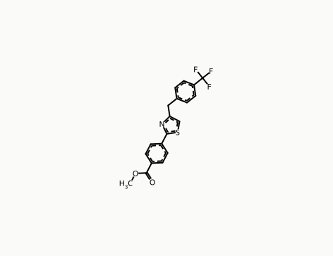 COC(=O)c1ccc(-c2nc(Cc3ccc(C(F)(F)F)cc3)cs2)cc1